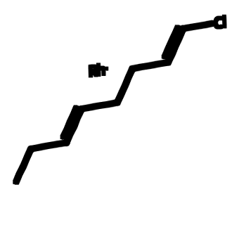 CCC=CCCC=CCl.[Rh]